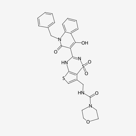 O=C(NCc1csc2c1S(=O)(=O)N=C(c1c(O)c3ccccc3n(Cc3ccccc3)c1=O)N2)N1CCOCC1